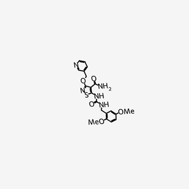 COc1ccc(OC)c(CNC(=O)Nc2snc(OCc3cccnc3)c2C(N)=O)c1